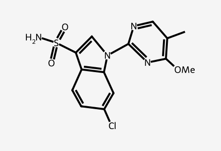 COc1nc(-n2cc(S(N)(=O)=O)c3ccc(Cl)cc32)ncc1C